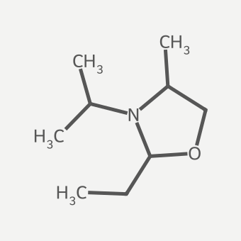 CCC1OCC(C)N1C(C)C